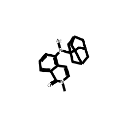 CC(=O)N(c1cccc2c(=O)n(C)ccc12)C12CC3CC(CC(C3)C1)C2